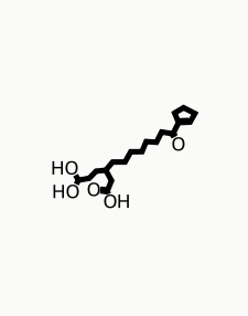 O=C(O)CC(CCCCCCCC(=O)C1=CCCC1)CCC(O)O